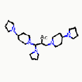 CC(=O)C(CN1CCC(N2CCCC2)CC1)C(N1CCCC1)N1CCC(N2CCCC2)CC1